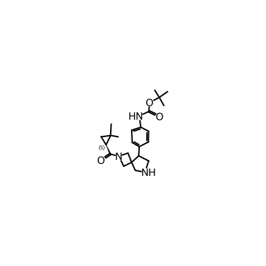 CC(C)(C)OC(=O)Nc1ccc(C2CNCC23CN(C(=O)[C@H]2CC2(C)C)C3)cc1